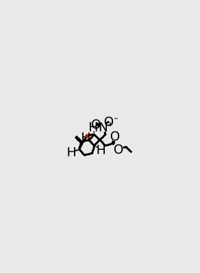 C=C1[C@H]2CC[C@H]3[C@@H]1[C@@H](C2)C3(CC(=O)OCC)C[N+](=O)[O-]